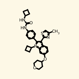 Cc1csc(-c2c(-c3ccc(NC(=O)NC4CCC4)cc3)n(C3CCC3)c3cc(OC4CCOCC4)ccc23)n1